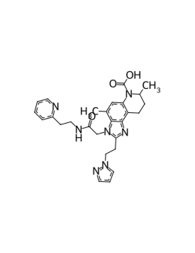 Cc1cc2c(c3nc(CCn4cccn4)n(CC(=O)NCCc4ccccn4)c13)CCC(C)N2C(=O)O